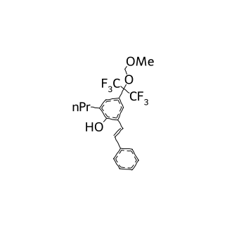 CCCc1cc(C(OCOC)(C(F)(F)F)C(F)(F)F)cc(C=Cc2ccccc2)c1O